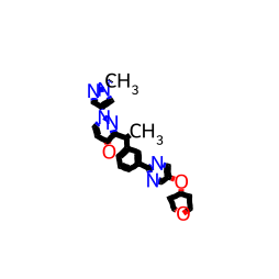 CC(c1cccc(-c2ncc(OC3CCOCC3)cn2)c1)c1nn(-c2cnn(C)c2)ccc1=O